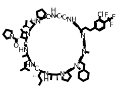 CC[C@H](C)[C@H]1CN[C@@H](CC(C)C)C(C)NCC2[C@H](C(=O)N3CCCC3)C(C)N2[C@@H](C(C)C)C(C)NC2(CCCC2)CNCCNC=CC(CCc2ccc(C(F)(F)F)c(Cl)c2)=NC=CN(C)C=C(CC2CCCCC2)N(C)C=C2CCCN2[C@@H](C)C(C)N1